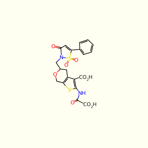 O=C(O)C(=O)Nc1sc2c(c1C(=O)O)CC(CN1C(=O)C=C(c3ccccc3)S1(=O)=O)OC2